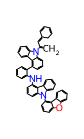 C=C(/C=C1/C=CC=CC1)n1c2ccccc2c2c(-c3ccccc3Nc3cccc4c3c3ccccc3n4-c3cccc4oc5ccccc5c34)cccc21